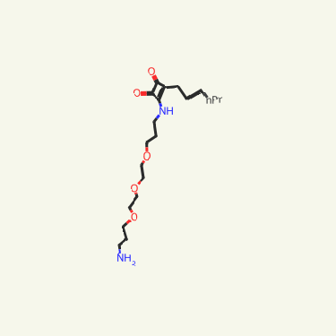 CCC/C=C/Cc1c(NCCCOCCOCCOCCCN)c(=O)c1=O